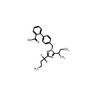 CCCC(F)(F)c1nc(C(C)CC)n(Cc2ccc(-c3ccccc3C(=O)O)cc2)n1